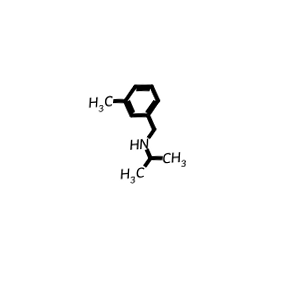 Cc1cccc(CNC(C)C)c1